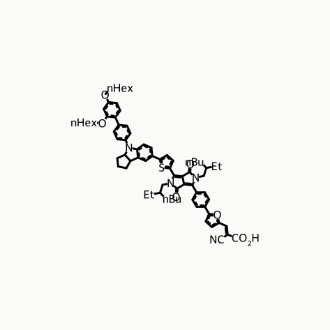 CCCCCCOc1ccc(-c2ccc(N3c4ccc(-c5ccc(C6=C7C(=O)N(CC(CC)CCCC)C(c8ccc(-c9ccc(/C=C(\C#N)C(=O)O)o9)cc8)=C7C(=O)N6CC(CC)CCCC)s5)cc4C4CCCC43)cc2)c(OCCCCCC)c1